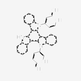 C=C/C=C\C(=C/C)n1c2ccccc2c2c3c(c4ccccc4n3C(/C=C\C)=C/C=C)c3[nH]c4ccccc4c3c21